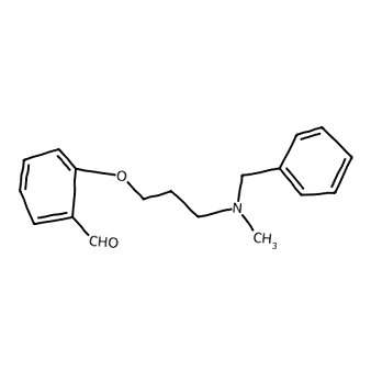 CN(CCCOc1ccccc1C=O)Cc1ccccc1